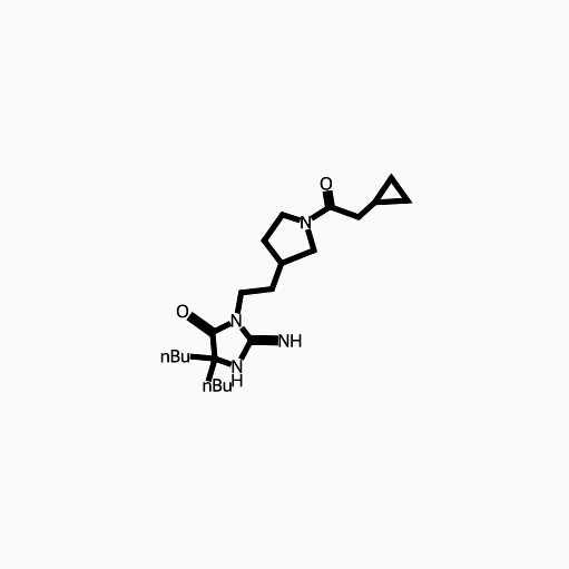 CCCCC1(CCCC)NC(=N)N(CCC2CCN(C(=O)CC3CC3)C2)C1=O